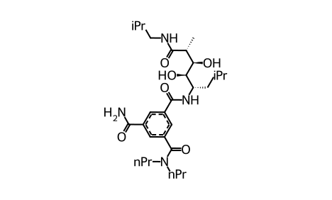 CCCN(CCC)C(=O)c1cc(C(N)=O)cc(C(=O)N[C@@H](CC(C)C)[C@@H](O)[C@H](O)[C@@H](C)C(=O)NCC(C)C)c1